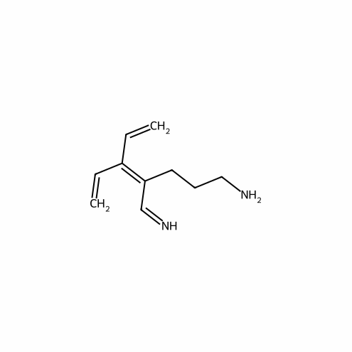 C=CC(C=C)=C(C=N)CCCN